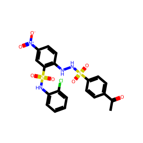 CC(=O)c1ccc(S(=O)(=O)NNc2ccc([N+](=O)[O-])cc2S(=O)(=O)Nc2ccccc2Cl)cc1